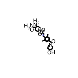 Cc1cc(C(=O)N2CCC(O)CC2)cc(C)c1/C=C/S(=O)(=O)N1CCC(N)(C(N)=O)CC1